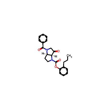 CCCc1ccccc1OC(=O)N1CC[C@@H]2[C@H]1C(=O)CN2C(=O)c1ccccc1